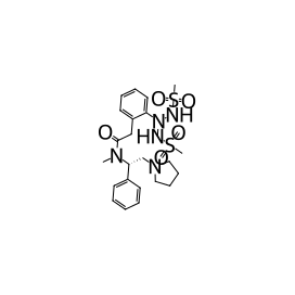 CN(C(=O)Cc1ccccc1N(NS(C)(=O)=O)NS(C)(=O)=O)[C@H](CN1CCCC1)c1ccccc1